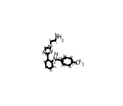 NCCn1cnc(-c2ccccc2Nc2ccc(C(F)(F)F)cc2)n1